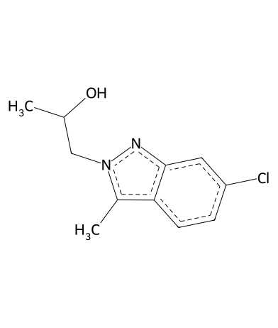 Cc1c2ccc(Cl)cc2nn1CC(C)O